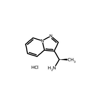 C[C@@H](N)c1cnn2ccccc12.Cl